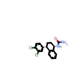 NC(=O)N[C@H]1CC[C@@H](c2ccc(Cl)c(Cl)c2)c2ccccc21